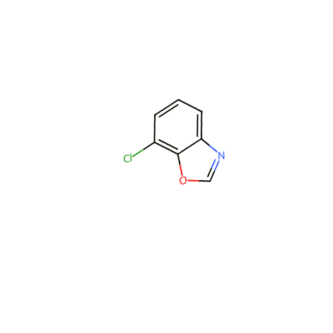 Clc1cccc2ncoc12